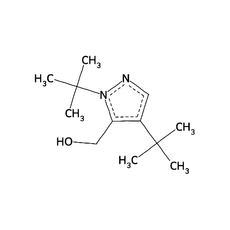 CC(C)(C)c1cnn(C(C)(C)C)c1CO